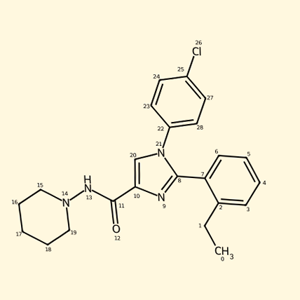 CCc1ccccc1-c1nc(C(=O)NN2CCCCC2)cn1-c1ccc(Cl)cc1